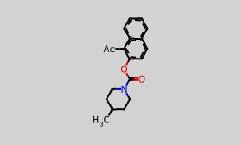 CC(=O)c1c(OC(=O)N2CCC(C)CC2)ccc2ccccc12